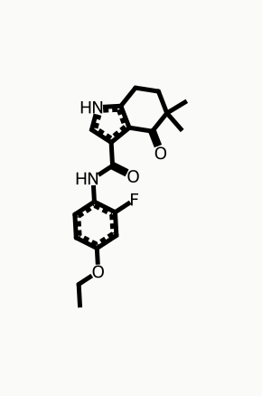 CCOc1ccc(NC(=O)c2c[nH]c3c2C(=O)C(C)(C)CC3)c(F)c1